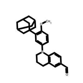 COc1ccc(N2CCCc3cc(C=O)ccc32)cc1C12CC3CC(CC(C3)C1)C2